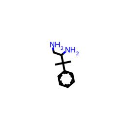 CC(C)(c1ccccc1)C(N)CN